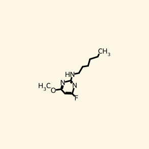 CCCCCCNc1nc(F)cc(OC)n1